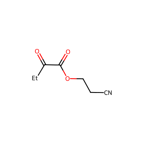 CCC(=O)C(=O)OCCC#N